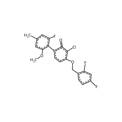 COc1cc(C)cc(F)c1-n1ccc(OCc2ccc(F)cc2F)c(Cl)c1=O